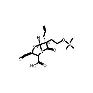 C=CC[C@]1(CCO[Si](C)(C)C)C(=O)N2C(C(=O)O)C(=C=S)S[C@@H]21